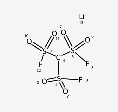 O=S(=O)(F)[C-](S(=O)(=O)F)S(=O)(=O)F.[Li+]